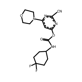 N#Cc1nc(OC(=O)NC2CCC(F)(F)CC2)cc(N2CCOCC2)n1